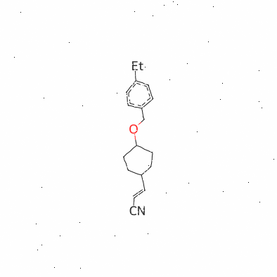 CCc1ccc(COC2CCC(C=CC#N)CC2)cc1